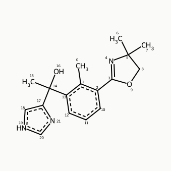 Cc1c(C2=NC(C)(C)CO2)cccc1C(C)(O)c1c[nH]cn1